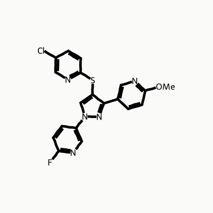 COc1ccc(-c2nn(-c3ccc(F)nc3)cc2Sc2ccc(Cl)cn2)cn1